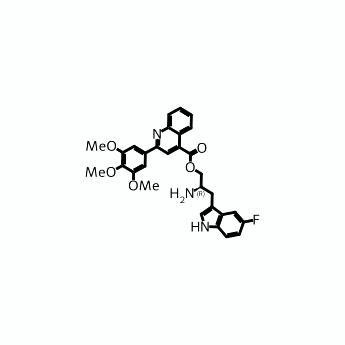 COc1cc(-c2cc(C(=O)OC[C@H](N)Cc3c[nH]c4ccc(F)cc34)c3ccccc3n2)cc(OC)c1OC